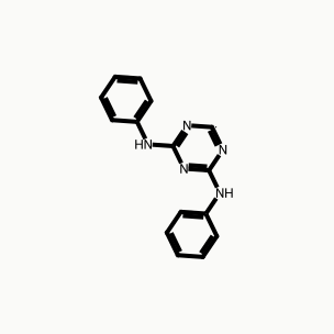 [c]1nc(Nc2ccccc2)nc(Nc2ccccc2)n1